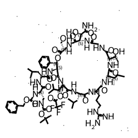 CC[C@H](C)[C@@H]1NC(=O)[C@@H](CCCNC(=N)N)NC(=O)[C@H](CC(C)C)NC(=O)[C@H]([C@H](OC(=O)C(F)(F)F)C(C)C)NC(=O)[C@@H](NC(=O)[C@H](CC(C)C)NC(=O)[C@H](CNC(=O)OC(C)(C)C)NC(=O)OCc2ccccc2)[C@@H](c2ccccc2)OC(=O)[C@H](CO)NC(=O)[C@H]([C@H](O)C(N)=O)NC(=O)CNC(=O)[C@H]([C@H](C)O)NC1=O